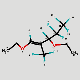 CCOC(F)=C(C(F)(F)F)C(F)(OCC)C(F)(F)C(F)(F)F